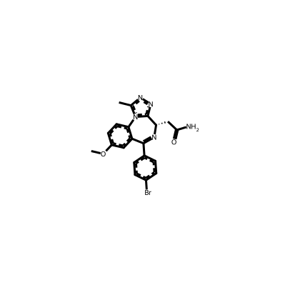 COc1ccc2c(c1)C(c1ccc(Br)cc1)=N[C@@H](CC(N)=O)c1nnc(C)n1-2